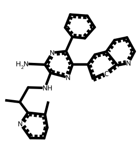 Cc1cccnc1C(C)CNc1nc(-c2ccc3ncccc3c2)c(-c2ccccc2)nc1N